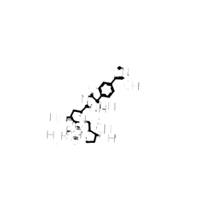 BBS(=O)(=O)N1CCC(C)(C)C1C(=O)N1CC(O)CC1C1=NC(=O)C(C)(c2ccc(-c3scnc3C)cc2)N1